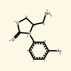 CC(=O)c1cccc(N2C(=O)OCC2CN)c1